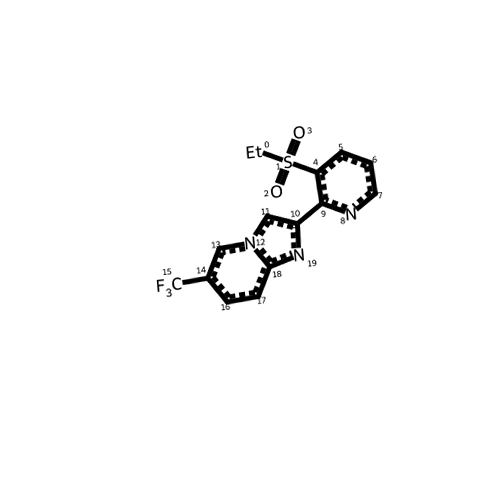 CCS(=O)(=O)c1cccnc1-c1cn2cc(C(F)(F)F)ccc2n1